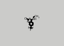 CCNc1nc(Cl)nc2cc(C(F)(F)F)ccc12